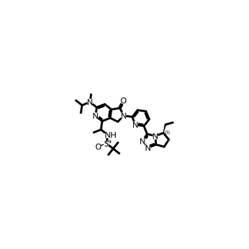 CC[C@H]1CCc2nnc(-c3cccc(N4Cc5c(cc(N(C)C(C)C)nc5C(C)N[S@@+]([O-])C(C)(C)C)C4=O)n3)n21